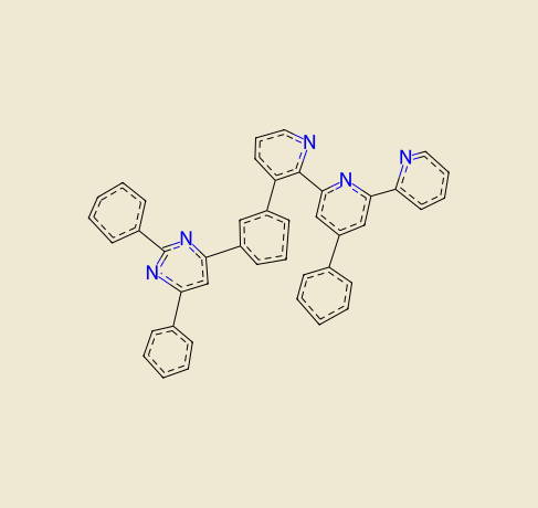 c1ccc(-c2cc(-c3ccccn3)nc(-c3ncccc3-c3cccc(-c4cc(-c5ccccc5)nc(-c5ccccc5)n4)c3)c2)cc1